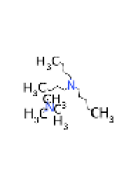 CCCCCN(CCCC)CCCC.CN(C)C